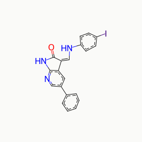 O=C1Nc2ncc(-c3ccccc3)cc2C1=CNc1ccc(I)cc1